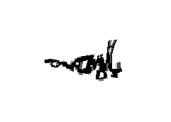 CCOCCN1CCN(CC(=O)NC(C)C)CC1